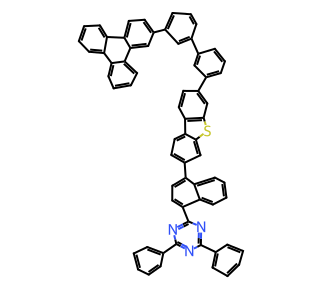 c1ccc(-c2nc(-c3ccccc3)nc(-c3ccc(-c4ccc5c(c4)sc4cc(-c6cccc(-c7cccc(-c8ccc9c%10ccccc%10c%10ccccc%10c9c8)c7)c6)ccc45)c4ccccc34)n2)cc1